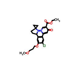 CCOC(=O)c1cn2c(cc1=O)-c1cc(Cl)c(OCCCOC)cc1C1CCC3(CC3)N12